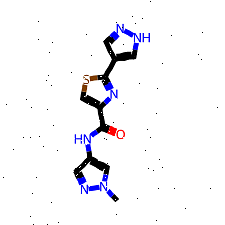 Cn1cc(NC(=O)c2csc(-c3cn[nH]c3)n2)cn1